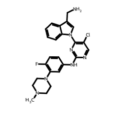 CN1CCN(c2cc(Nc3ncc(Cl)c(-n4cc(CN)c5ccccc54)n3)ccc2F)CC1